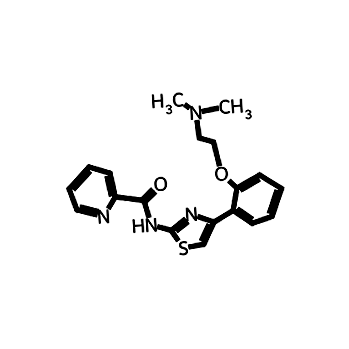 CN(C)CCOc1ccccc1-c1csc(NC(=O)c2ccccn2)n1